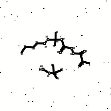 C=C(C)C(=O)OOC(=O)OC(C)(C)OOCCCC.CC(C)(C)OO